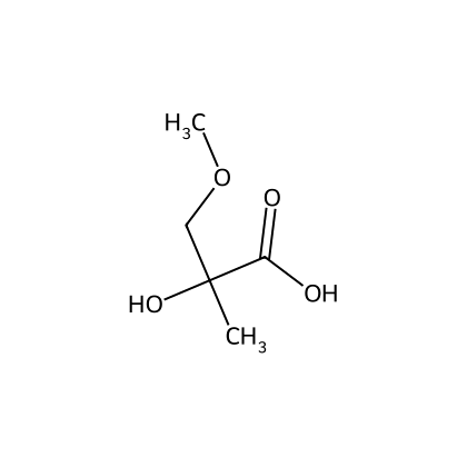 COCC(C)(O)C(=O)O